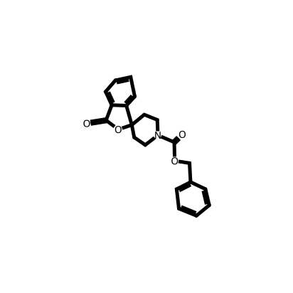 O=C1OC2(CCN(C(=O)OCc3ccccc3)CC2)c2ccccc21